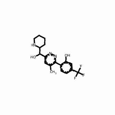 Cc1cc(C(O)C2CCCCN2)nnc1-c1ccc(C(F)(F)F)cc1O